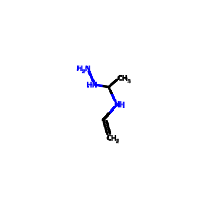 C=CNC(C)NN